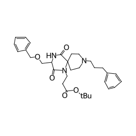 CC(C)(C)OC(=O)CCN1C(=O)C(COCc2ccccc2)NC(=O)C12CCN(CCCc1ccccc1)CC2